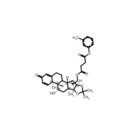 Cc1cccc(OC(=O)CCC(=O)OCC(=O)[C@@]23OC(C)(C)O[C@@H]2C[C@H]2C4CCC5=CC(=O)C=C[C@]5(C)[C@@]4(F)[C@@H](O)C[C@@]23C)c1